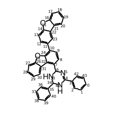 c1ccc(C2=NC(c3ccc(-c4ccc5oc6ccccc6c5c4)c4oc5ccccc5c34)NC(c3ccccc3)N2)cc1